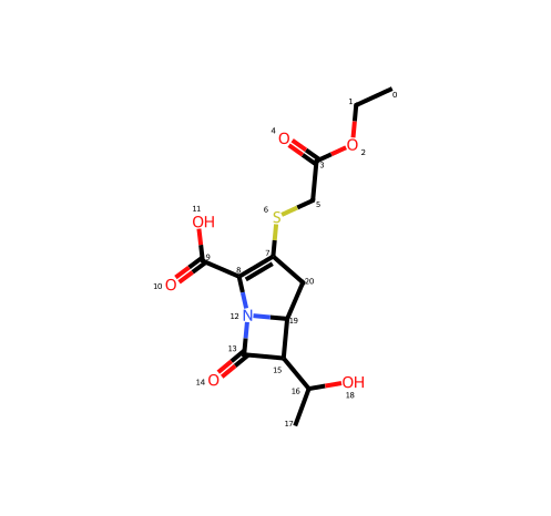 CCOC(=O)CSC1=C(C(=O)O)N2C(=O)C(C(C)O)C2C1